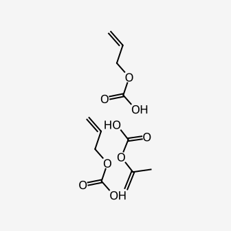 C=C(C)OC(=O)O.C=CCOC(=O)O.C=CCOC(=O)O